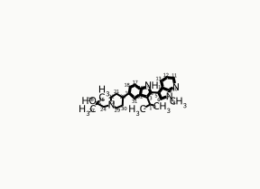 CC(C)c1c(-c2cn(C)c3ncccc23)[nH]c2ccc(C3CCN(CC(C)(C)O)CC3)cc12